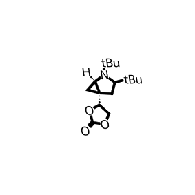 CC(C)(C)C1C[C@@]2(C3COC(=O)O3)C[C@H]2N1C(C)(C)C